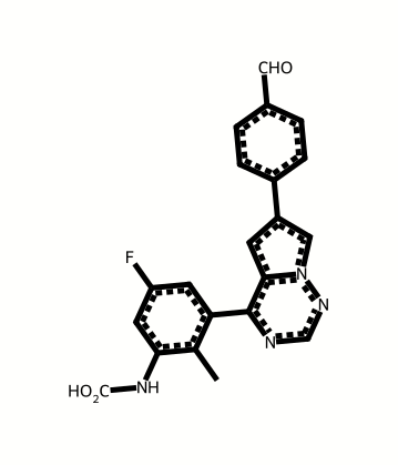 Cc1c(NC(=O)O)cc(F)cc1-c1ncnn2cc(-c3ccc(C=O)cc3)cc12